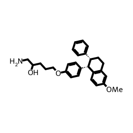 COc1ccc2c(c1)CC[C@@H](c1ccccc1)[C@H]2c1ccc(OCCCC(O)CN)cc1